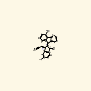 N#C/C=C1/C(=C2/c3cccnc3-c3c(O)cccc32)C(=O)c2ccc(F)cc21